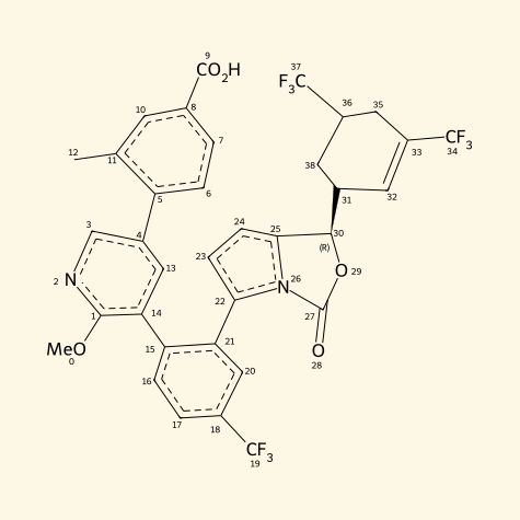 COc1ncc(-c2ccc(C(=O)O)cc2C)cc1-c1ccc(C(F)(F)F)cc1-c1ccc2n1C(=O)O[C@@H]2C1C=C(C(F)(F)F)CC(C(F)(F)F)C1